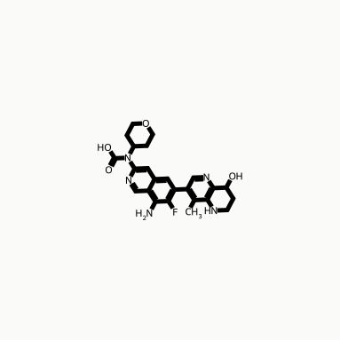 Cc1c(-c2cc3cc(N(C(=O)O)C4CCOCC4)ncc3c(N)c2F)cnc2c1NCCC2O